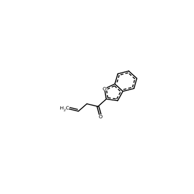 C=CCC(=O)c1cc2ccccc2o1